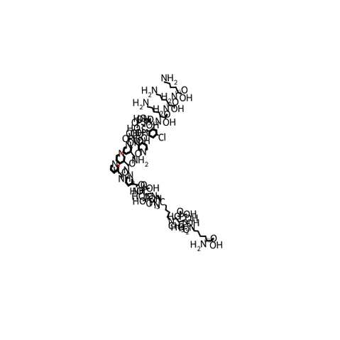 CCCCCN(C)CCC(O)(P(=O)(O)O)P(=O)(O)O.NC(=O)c1cccnc1.NC(=O)c1cccnc1.NC(=O)c1cccnc1.NC(=O)c1cccnc1.NCCCCC(N)C(=O)O.NCCCC[C@H](N)C(=O)O.NCCCC[C@H](N)C(=O)O.NCCCC[C@H](N)C(=O)O.O=P(O)(O)C(O)(Cc1cccnc1)P(=O)(O)O.O=P(O)(O)C(O)(Cn1ccnc1)P(=O)(O)O.O=P(O)(O)C(Sc1ccc(Cl)cc1)P(=O)(O)O